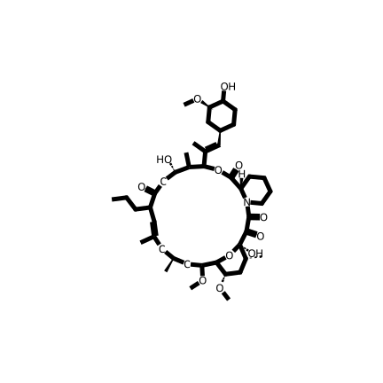 CCCC1/C=C(\C)C[C@H](C)CC(OC)C2O[C@@](O)(C(=O)C(=O)N3CCCC[C@H]3C(=O)OC(/C(C)=C/[C@@H]3CCC(O)[C@H](OC)C3)C(C)[C@@H](O)CC1=O)[C@H](C)C[C@@H]2OC